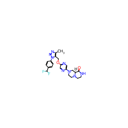 Cc1nnn(-c2ccc(C(F)F)cc2)c1COc1cnc(N2CCN3CCNC(=O)[C@@H]3C2)cn1